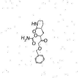 NC(=O)OC(C[C@@H]1CCCNC1=O)C(=O)COCc1ccccc1